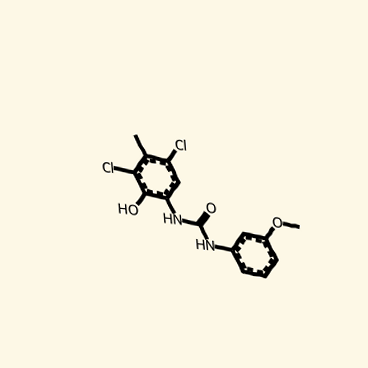 COc1cccc(NC(=O)Nc2cc(Cl)c(C)c(Cl)c2O)c1